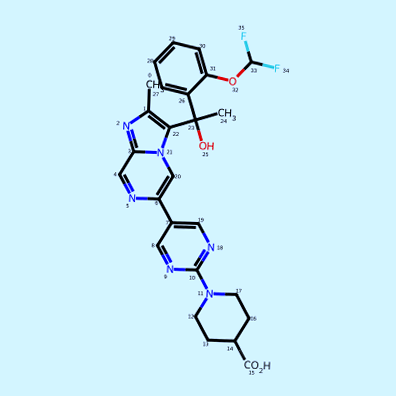 Cc1nc2cnc(-c3cnc(N4CCC(C(=O)O)CC4)nc3)cn2c1C(C)(O)c1ccccc1OC(F)F